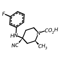 C[C@H]1C[C@](C#N)(Nc2cccc(F)c2)CCN1C(=O)O